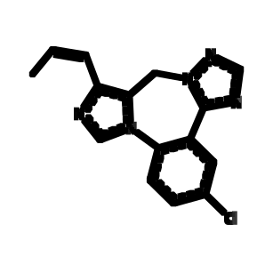 C/C=C\c1ncn2c1Cn1ncnc1-c1cc(Cl)ccc1-2